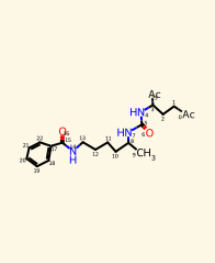 CC(=O)CCC(NC(=O)NC(C)CCCCNC(=O)c1ccccc1)C(C)=O